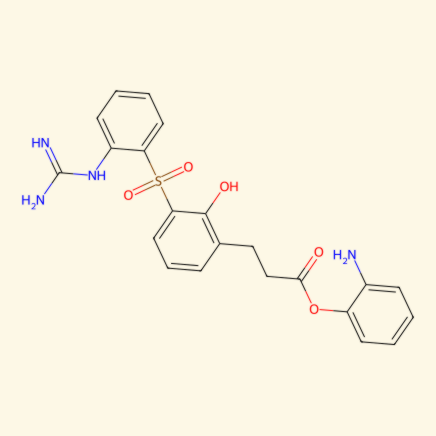 N=C(N)Nc1ccccc1S(=O)(=O)c1cccc(CCC(=O)Oc2ccccc2N)c1O